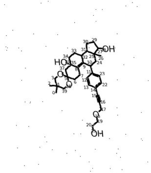 CC1(C)COC2(CCC3=C4C(c5ccc(C#CCOCCO)cc5)CC5(C)C(O)CCC5C4CC[C@@]3(O)C2)OC1